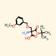 COc1cccc(COCC(N)(C(=O)O)C(=O)OC(C)(C)C)c1